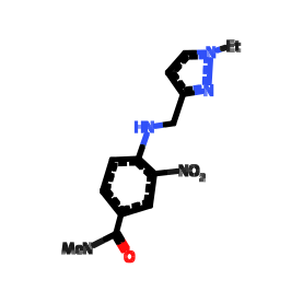 CCn1ccc(CNc2ccc(C(=O)NC)cc2[N+](=O)[O-])n1